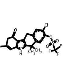 CC1(C)c2cc(OS(=O)(=O)C(F)(F)F)c(Cl)cc2Cc2c1[nH]c1c2C(=O)CC(Br)=C1